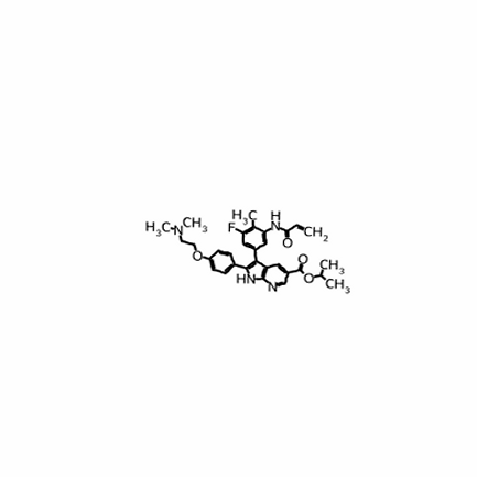 C=CC(=O)Nc1cc(-c2c(-c3ccc(OCCN(C)C)cc3)[nH]c3ncc(C(=O)OC(C)C)cc23)cc(F)c1C